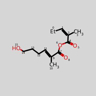 CCC=C(C)C(=O)OC(=O)C(C)=CCCCO